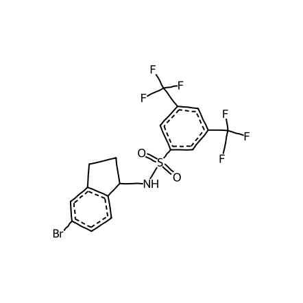 O=S(=O)(NC1CCc2cc(Br)ccc21)c1cc(C(F)(F)F)cc(C(F)(F)F)c1